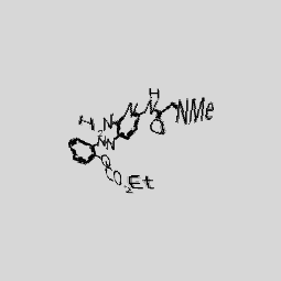 CCOC(=O)Oc1ccccc1/N=N/c1ccc(NC(=O)CNC)nc1N